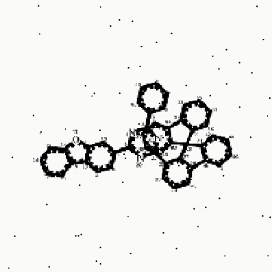 c1ccc(-c2nc(-c3ccc4c(c3)oc3ccccc34)nc(-c3cccc4c3C3(c5ccccc5-c5ccccc53)c3ccccc3-4)n2)cc1